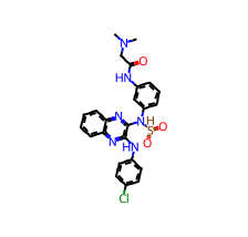 CN(C)CC(=O)Nc1cccc(N(c2nc3ccccc3nc2Nc2ccc(Cl)cc2)[SH](=O)=O)c1